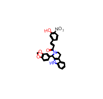 O=C(/C=C/c1ccc([N+](=O)[O-])c(O)c1)N1CCc2c([nH]c3ccccc23)C1c1ccc2c(c1)OCO2